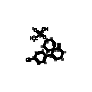 CS(=O)(=O)O.Clc1ccc(C2=CCCNC23CCCCC3)cc1